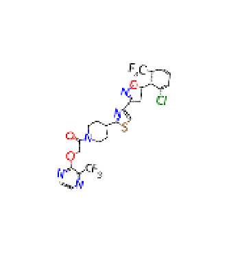 O=C(COc1nccnc1C(F)(F)F)N1CCC(c2nc(C3=NOC(c4c(Cl)cccc4C(F)(F)F)C3)cs2)CC1